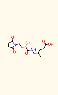 CC(CCC(=O)O)CNC(=O)C(S)CCN1C(=O)CCC1=O